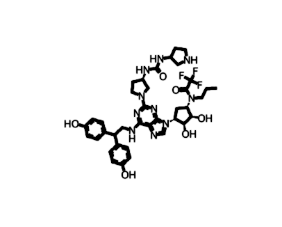 CCCN(C(=O)C(F)(F)F)[C@H]1C[C@@H](n2cnc3c(NCC(c4ccc(O)cc4)c4ccc(O)cc4)nc(N4CC[C@@H](NC(=O)NC5CCNC5)C4)nc32)[C@H](O)[C@@H]1O